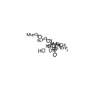 COc1ccc2c(Oc3ccc(NC(=O)c4c(C)n(C[C@@H](C)[C@](C)(N)C(=O)O)n(-c5ccccc5)c4=O)nc3)ccnc2c1.Cl